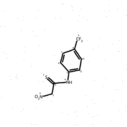 O=[N+]([O-])CC(=S)Nc1ccc(C(F)(F)F)cc1